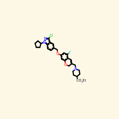 CCOC(=O)C1CCN(CC2=Cc3c(F)cc(OCc4ccc5c(c4)c(Cl)nn5C4CCCC4)cc3OC2)CC1